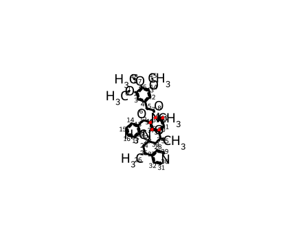 COc1cc(C(=O)C(=O)N(C)C(Cc2ccccc2)C(=O)N(C)C(CC(C)c2ccncc2)CC(C)c2ccncc2)cc(OC)c1OC